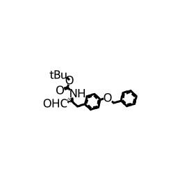 CC(C)(C)OC(=O)N[C@H](C=O)Cc1ccc(OCc2ccccc2)cc1